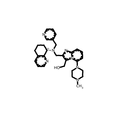 CN1CCN(c2cccc3nc(CN(Cc4cccnc4)[C@H]4CCCc5cccnc54)c(CO)n23)CC1